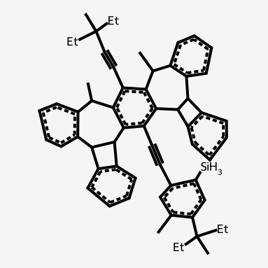 CCC(C)(C#Cc1c2c(c(C#Cc3cc(C)c(C(C)(CC)CC)cc3[SiH3])c3c1C(C)c1ccccc1C1c4ccccc4C31)C1c3ccccc3C1c1ccccc1C2C)CC